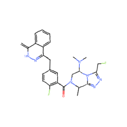 C=C1NN=C(Cc2ccc(F)c(C(=O)N3CC(N(C)C)n4c(CF)nnc4C3C)c2)c2ccccc21